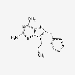 C=CCn1c(Cc2ccccc2)nc2c(N)nc(N)nc21